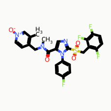 Cc1c[n+]([O-])ccc1CN(C)C(=O)c1cnc(S(=O)(=O)Cc2c(F)ccc(F)c2F)n1-c1ccc(F)cc1